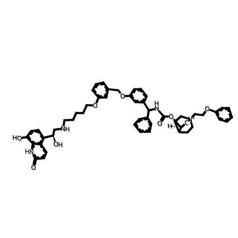 O=C(NC(c1ccccc1)c1cccc(OCc2cccc(OCCCCCNC[C@@H](O)c3ccc(O)c4[nH]c(=O)ccc34)c2)c1)O[C@H]1C[N+]2(CCOc3ccccc3)CCC1CC2